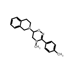 Cc1ccc(C2=NOC(N3CCc4ccccc4C3)CN2C)cc1